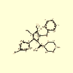 Cc1c(-c2ncc(F)cn2)c(C(=O)N2CCOCC2)n(Cc2ccccc2)c1C(F)(F)F